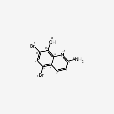 Nc1ccc2c(Br)cc(Br)c(O)c2n1